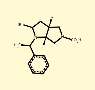 C[C@H](c1ccccc1)N1C(C(C)(C)C)C[C@@H]2CN(C(=O)O)C[C@@H]21